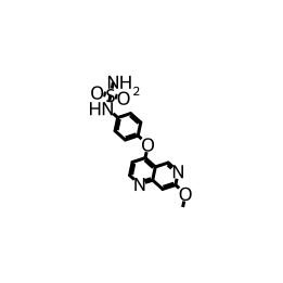 COc1cc2nccc(Oc3ccc(NS(N)(=O)=O)cc3)c2cn1